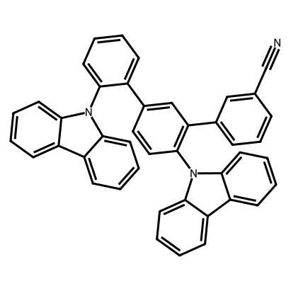 N#Cc1cccc(-c2cc(-c3ccccc3-n3c4ccccc4c4ccccc43)ccc2-n2c3ccccc3c3ccccc32)c1